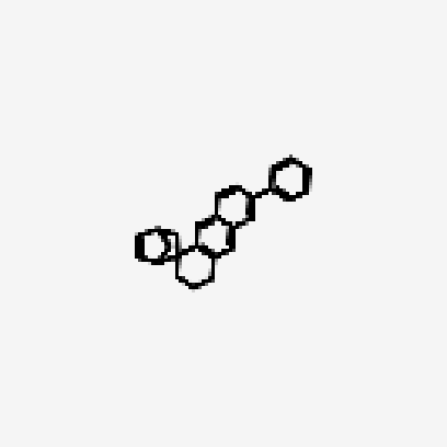 C1=CC2CC1CC21CCCc2cc3cc(-c4ccccc4)ccc3cc21